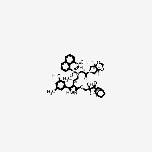 Cc1cc(C)cc(-c2[nH]nc(OCC(C)(C)C(=O)N3C4CCC3CC4)c2[C@H](C)CN(CC(=O)N2C[C@@H]3OCO[C@@H]3C2)S(=O)(=O)c2cccc3cccc(N(C)C)c23)c1